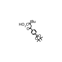 CC(C)(C)N(CC(=O)c1ccc(B2OC(C)(C)C(C)(C)O2)cc1)C(=O)O